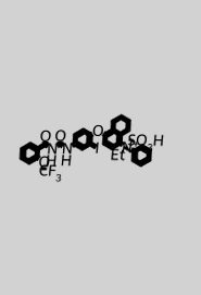 CC[N+](c1ccccc1)(c1ccc(Oc2ccc(NC(=O)NC(=O)c3ccccc3OC(F)(F)F)cc2I)c2c1CCCC2)S(=O)(=O)O